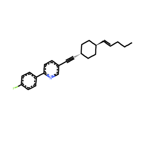 CCCC=C[C@H]1CC[C@H](C#Cc2ccc(-c3ccc(F)cc3)nc2)CC1